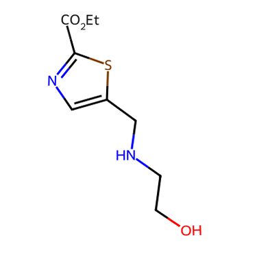 CCOC(=O)c1ncc(CNCCO)s1